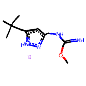 COC(=N)Nc1cc(C(C)(C)C)[nH]n1.I